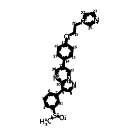 C[S+]([O-])c1cccc(-c2cnn3cc(-c4ccc(OCCn5ccnc5)cc4)cnc23)c1